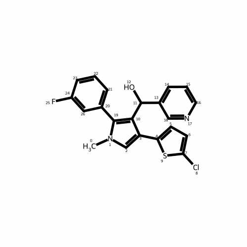 Cn1cc(-c2ccc(Cl)s2)c(C(O)c2cccnc2)c1-c1cccc(F)c1